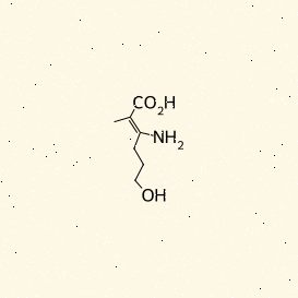 CC(C(=O)O)=C(N)CCCO